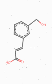 O=C(O)C=Cc1cccc(CO)c1